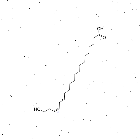 O=C(O)CCCCCCCCCCCCCCC/C=C\CCO